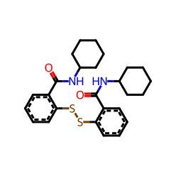 O=C(NC1CCCCC1)c1ccccc1SSc1ccccc1C(=O)NC1CCCCC1